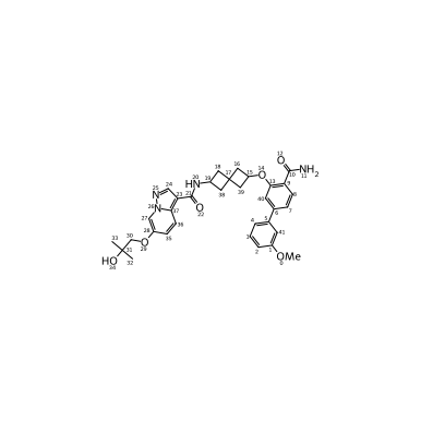 COc1cccc(-c2ccc(C(N)=O)c(OC3CC4(CC(NC(=O)c5cnn6cc(OCC(C)(C)O)ccc56)C4)C3)c2)c1